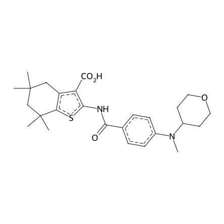 CN(c1ccc(C(=O)Nc2sc3c(c2C(=O)O)CC(C)(C)CC3(C)C)cc1)C1CCOCC1